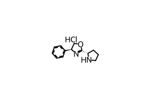 Cl.c1ccc([C@H]2COC([C@@H]3CCCN3)=N2)cc1